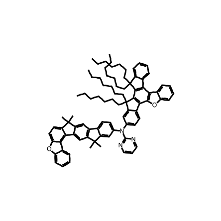 CCCCCCCC1(CCCCCCC)c2cc(N(c3ccc4c(c3)C(C)(C)c3cc5c(cc3-4)C(C)(C)c3ccc4oc6ccccc6c4c3-5)c3ncccn3)ccc2-c2c1c1c(c3c2oc2ccccc23)-c2ccccc2C1(CCCCCCC)CCCCCCC